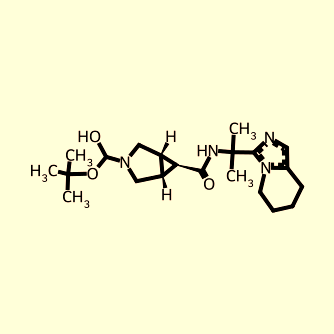 CC(C)(C)OC(O)N1C[C@@H]2[C@H](C1)[C@H]2C(=O)NC(C)(C)c1ncc2n1CCCC2